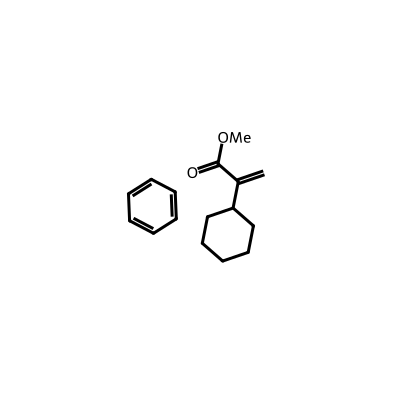 C=C(C(=O)OC)C1CCCCC1.c1ccccc1